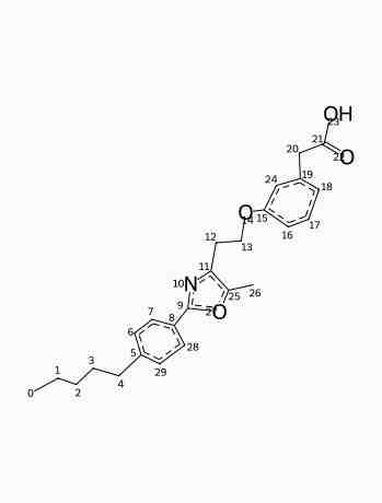 CCCCCc1ccc(-c2nc(CCOc3cccc(CC(=O)O)c3)c(C)o2)cc1